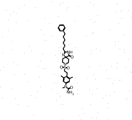 Cc1cc(N(C)C(N)=O)cc(C)c1CCS(=O)(=O)N1CCC2(CC1)N=C(CCCCCCc1ccccc1)NC2=O